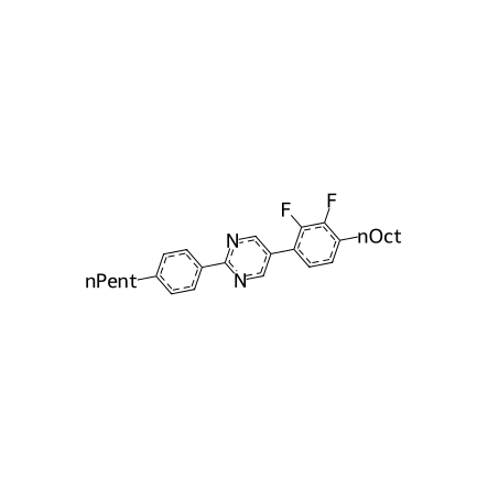 CCCCCCCCc1ccc(-c2cnc(-c3ccc(CCCCC)cc3)nc2)c(F)c1F